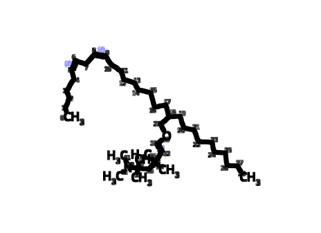 CCCCC/C=C\C/C=C\CCCCCCCCC(CCCCCCCCCC)CO/C=C/C(C)(C)CC(C)(C)N(C)C